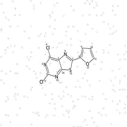 Clc1nc(Cl)c2nc(-c3ccco3)sc2n1